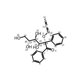 O=C(c1ccccc1)[C@](ON=C=S)(c1ccccc1)[C@@H](O)[C@H](O)[C@H](O)CO